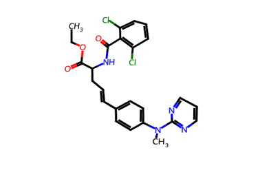 CCOC(=O)C(CC=Cc1ccc(N(C)c2ncccn2)cc1)NC(=O)c1c(Cl)cccc1Cl